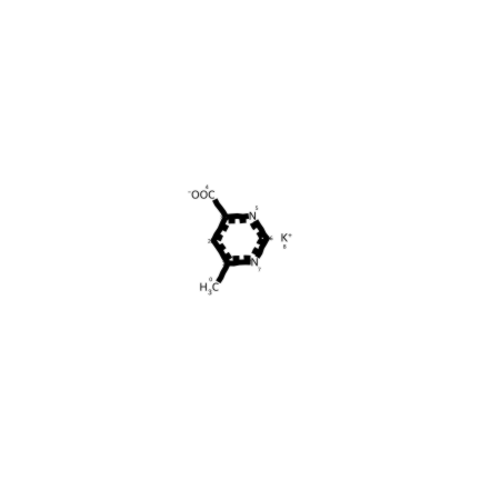 Cc1cc(C(=O)[O-])ncn1.[K+]